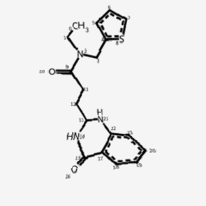 CCN(Cc1cccs1)C(=O)CCC1NC(=O)c2ccccc2N1